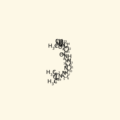 C[C@@H]1CN(c2cccc(-c3ccc4cnc(CNC(=O)c5ccc6c(c5)N(S(=O)(=O)N(C)C)CC6)cc4n3)n2)C[C@H](C)O1